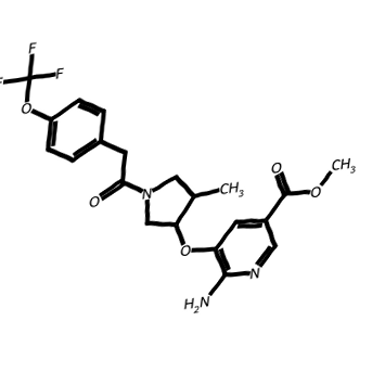 COC(=O)c1cnc(N)c(OC2CN(C(=O)Cc3ccc(OC(F)(F)F)cc3)CC2C)c1